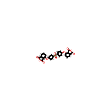 O=C1OC(=O)c2c(Oc3ccc(S(=O)(=O)c4ccc(Oc5cccc6c5C(=O)OC6=O)cc4)cc3)cccc21